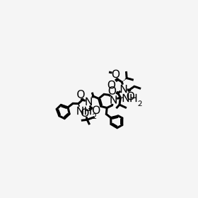 CCC(=O)N(C(=O)[C@@](N)(C(C)C)N1CCC(C(C)N(C(=O)OC(C)(C)C)C(=O)[C@@H](N)Cc2ccccc2)=CC(Cc2ccccc2)C1)[C@H](C(=O)OC)C(C)C